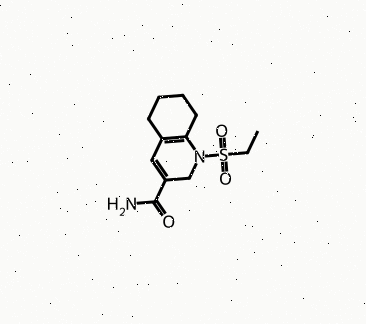 CCS(=O)(=O)N1CC(C(N)=O)=CC2=C1CCCC2